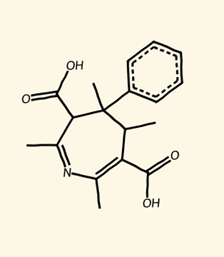 CC1=NC(C)=C(C(=O)O)C(C)C(C)(c2ccccc2)C1C(=O)O